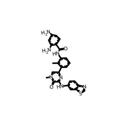 Cc1c(NC(=O)c2ccc(N)cc2N)cccc1-c1cn(C)c(=O)c(Nc2ccc3ncsc3c2)n1